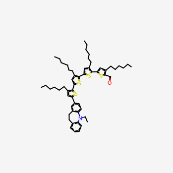 CCCCCCc1cc(-c2sc(-c3sc(-c4sc(-c5ccc6c(c5)CCc5ccccc5N6CC)cc4CCCCCC)cc3CCCCCC)cc2CCCCCC)sc1C=O